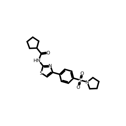 O=C(Nc1nc(-c2ccc(S(=O)(=O)N3CCCC3)cc2)cs1)C1CCCC1